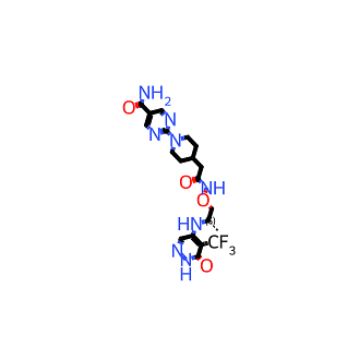 C[C@@H](CONC(=O)CC1CCN(c2ncc(C(N)=O)cn2)CC1)Nc1cn[nH]c(=O)c1C(F)(F)F